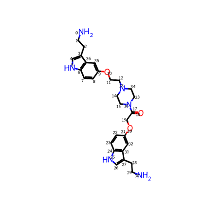 NCCc1c[nH]c2ccc(OCCN3CCN(C(=O)COc4ccc5[nH]cc(CCN)c5c4)CC3)cc12